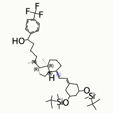 C[C@H](CCCC(O)c1ccc(C(F)(F)F)cc1)[C@H]1CC[C@H]2/C(=C/C=C3CC(O[Si](C)(C)C(C)(C)C)CC(O[Si](C)(C)C(C)(C)C)C3)CCC[C@]12C